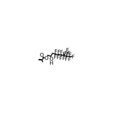 C=C(C)C(=O)OCC(O)CC(F)(F)C(F)(F)C(F)(F)C(F)(F)C(F)(C(F)(F)F)C(F)(F)F